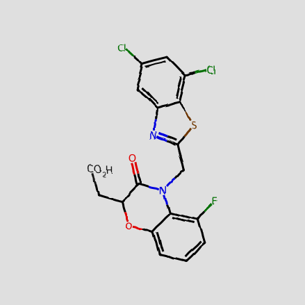 O=C(O)CC1Oc2cccc(F)c2N(Cc2nc3cc(Cl)cc(Cl)c3s2)C1=O